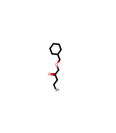 CC(C)CCC(=O)COCC1CCCCC1